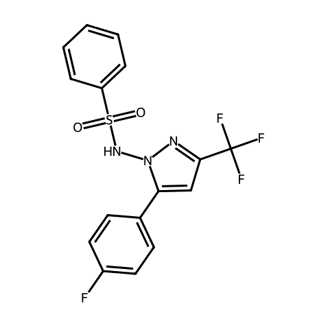 O=S(=O)(Nn1nc(C(F)(F)F)cc1-c1ccc(F)cc1)c1ccccc1